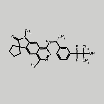 Cc1nnc(N[C@H](C)c2cccc(C(F)(F)C(C)(C)O)c2)c2cc3c(cc12)C1(CCCC1)C(=O)N3C